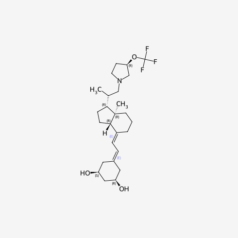 CC(CN1CC[C@@H](OC(F)(F)F)C1)[C@H]1CC[C@H]2/C(=C/C=C3/C[C@@H](O)C[C@@H](O)C3)CCC[C@]12C